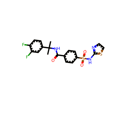 CC(C)(NC(=O)c1ccc(S(=O)(=O)Nc2nccs2)cc1)c1ccc(F)c(F)c1